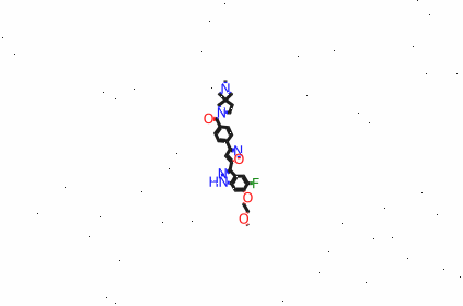 COCCOc1cc2[nH]nc(-c3cc(-c4ccc(C(=O)N5CCC6(CN(C)C6)C5)cc4)no3)c2cc1F